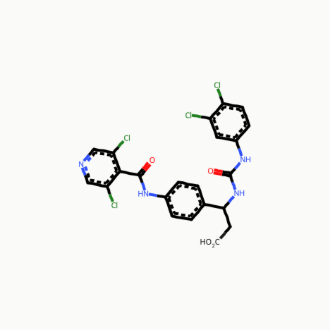 O=C(O)CC(NC(=O)Nc1ccc(Cl)c(Cl)c1)c1ccc(NC(=O)c2c(Cl)cncc2Cl)cc1